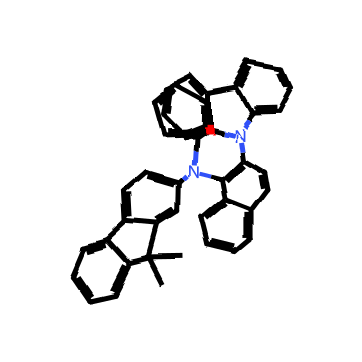 CC1(C)c2ccccc2-c2ccc(N(c3ccccc3)c3c(-n4c5ccccc5c5ccccc54)ccc4ccccc34)cc21